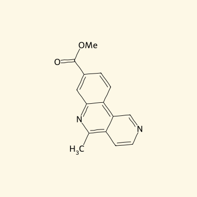 COC(=O)c1ccc2c(c1)nc(C)c1ccncc12